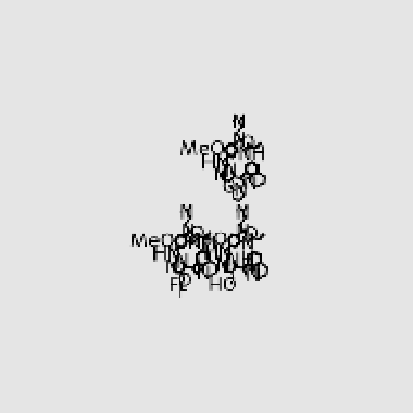 C=CC(=O)Nc1cc(Nc2ncc(CO)c(-c3cn4c5c(cccc35)CCC4)n2)c(OC)cc1N(C)CCN(C)C.C=CC(=O)Nc1cc(Nc2ncc(OC(F)F)c(-c3cn4c5c(cccc35)CCC4)n2)c(OC)cc1N(C)CCN(C)C.C=CC(=O)Nc1cc(Nc2nccc(-c3c(N4CCCC4=O)n4c5c(cccc35)CCC4)n2)c(OC)cc1N(C)CCN(C)C